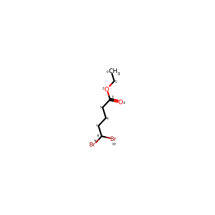 CCOC(=O)CCCC(Br)Br